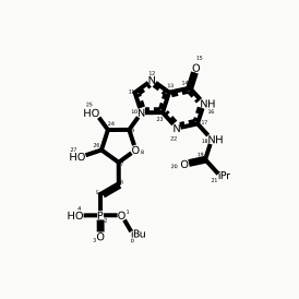 CCC(C)OP(=O)(O)C=CC1OC(n2cnc3c(=O)[nH]c(NC(=O)C(C)C)nc32)C(O)C1O